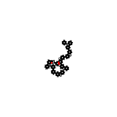 c1ccc(-c2nccn2-c2ccc(-c3cccc(-c4ccc5oc6ccc(-n7c8ccccc8c8cc(-c9ccc%10oc%11ccc(-c%12ccc%13oc%14ccc(-c%15ccc%16c(c%15)c%15ccccc%15n%16-c%15ccccc%15)cc%14c%13c%12)cc%11c%10c9)ccc87)cc6c5c4)c3)cc2-n2c3ccccc3c3ccccc32)cc1